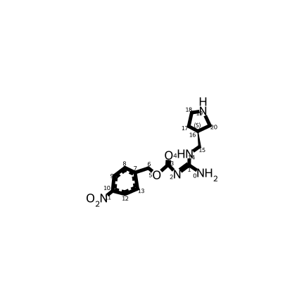 NC(=NC(=O)OCc1ccc([N+](=O)[O-])cc1)NC[C@H]1CCNC1